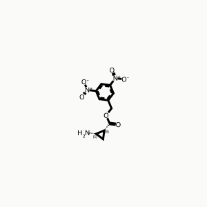 N[C@H]1C[C@H]1C(=O)OCc1cc([N+](=O)[O-])cc([N+](=O)[O-])c1